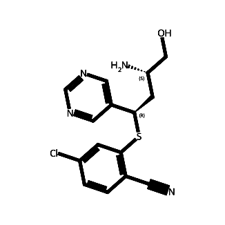 N#Cc1ccc(Cl)cc1S[C@H](C[C@H](N)CO)c1cncnc1